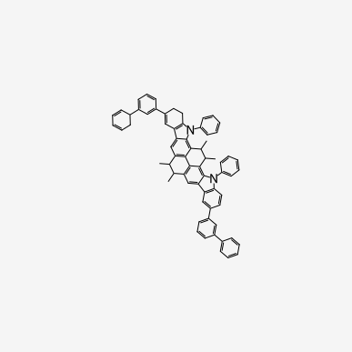 CC1c2cc3c4c(n(-c5ccccc5)c3c3c2-c2c(cc5c6cc(-c7cccc(-c8ccccc8)c7)ccc6n(-c6ccccc6)c5c2C(C)C3C)C1C)CCC(c1cccc(C2C=CC=CC2)c1)=C4